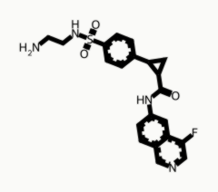 NCCNS(=O)(=O)c1ccc(C2CC2C(=O)Nc2ccc3cncc(F)c3c2)cc1